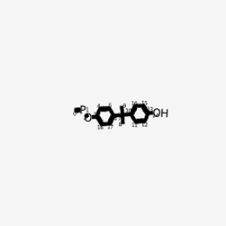 C=POc1ccc(C(C)(C)c2ccc(O)cc2)cc1